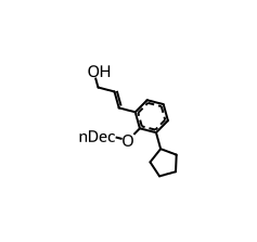 CCCCCCCCCCOc1c(C=CCO)cccc1C1CCCC1